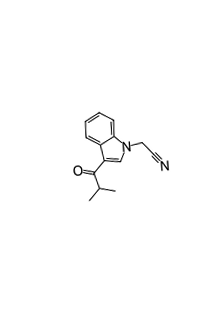 CC(C)C(=O)c1cn(CC#N)c2ccccc12